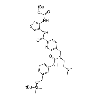 CN(C)CCN(Cc1ccc(C(=O)Nc2cscc2NC(=O)OC(C)(C)C)nc1)C(=O)Nc1cccc(CO[Si](C)(C)C(C)(C)C)c1